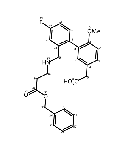 COc1ccc(CC(=O)O)cc1-c1ccc(F)cc1CNCCC(=O)OCc1ccccc1